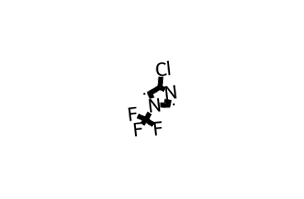 FC(F)(F)N1[C]=NC(Cl)[CH]1